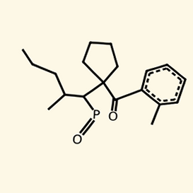 CCCC(C)C(P=O)C1(C(=O)c2ccccc2C)CCCC1